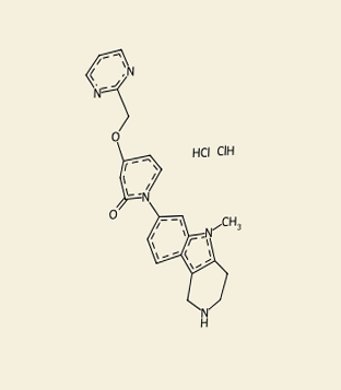 Cl.Cl.Cn1c2c(c3ccc(-n4ccc(OCc5ncccn5)cc4=O)cc31)CNCC2